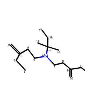 C=C(CC)CCN(CCC(=C)CC)C(C)(C)CC